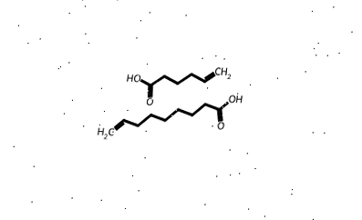 C=CCCCC(=O)O.C=CCCCCCCC(=O)O